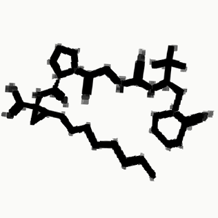 CCCCCCCCC1C[C@]1(NC(=O)[C@@H]1CCCN1C(=O)CNC(=O)N[C@H](CN1CCCCC1=O)C(C)(C)C)C(=O)O